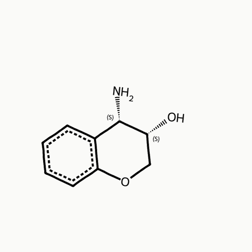 N[C@H]1c2ccccc2OC[C@H]1O